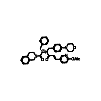 COc1ccc(C=CC(=O)N(Cc2ccc(N3CCOCC3)cc2)[C@@H](Cc2ccccc2)C(=O)N2CCc3ccccc3C2)cn1